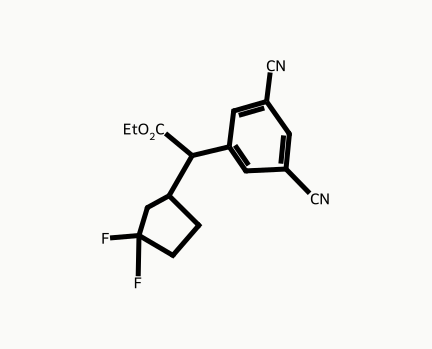 CCOC(=O)C(c1cc(C#N)cc(C#N)c1)C1CCC(F)(F)C1